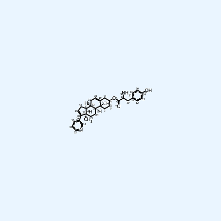 C[C@]12CC[C@H](OC(=O)C(N)Cc3ccc(O)cc3)CC1=CC[C@@H]1[C@@H]2CC[C@]2(C)C(c3cccnc3)=CC[C@@H]12